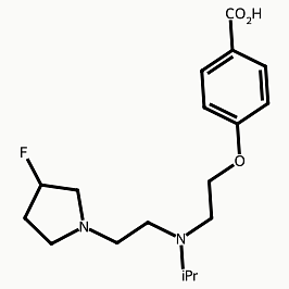 CC(C)N(CCOc1ccc(C(=O)O)cc1)CCN1CCC(F)C1